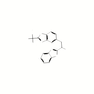 CC(Cc1ccc2sc(C(C)(C)C)nc2c1)c1nc2ccccc2o1